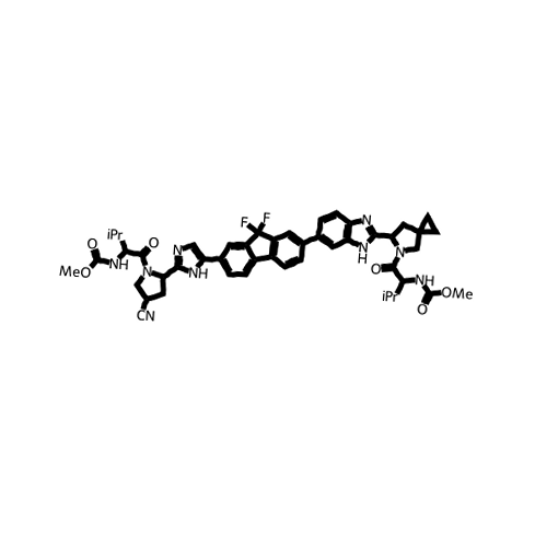 COC(=O)NC(C(=O)N1CC(C#N)CC1c1ncc(-c2ccc3c(c2)C(F)(F)c2cc(-c4ccc5nc(C6CC7(CC7)CN6C(=O)C(NC(=O)OC)C(C)C)[nH]c5c4)ccc2-3)[nH]1)C(C)C